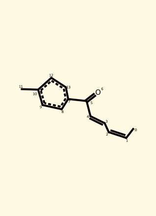 C/C=C\C=C\C(=O)c1ccc(C)cc1